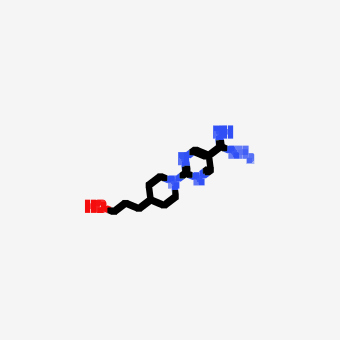 N=C(N)c1cnc(N2CCC(CCCO)CC2)nc1